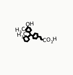 Cc1c(O)ccc(C(=C2CCCCC2)c2ccc(C=CC(=O)O)cc2)c1C